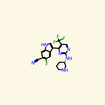 N#Cc1cc2[nH]cc(-c3nc(N[C@H]4CCCNC4)ncc3C(F)(F)F)c2cc1F